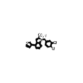 O=C(O)c1cc2c(-c3ccsc3)cccc2n1Cc1ccc(Cl)c(Cl)c1